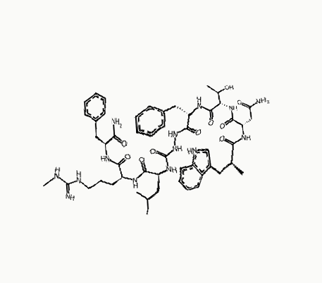 CNC(=N)NCCC[C@H](NC(=O)[C@H](CC(C)C)NC(=O)NNC(=O)[C@H](Cc1ccccc1)NC(=O)[C@@H](NC(=O)[C@H](CC(N)=O)NC(=O)[C@@H](C)Cc1c[nH]c2ccccc12)C(C)O)C(=O)N[C@@H](Cc1ccccc1)C(N)=O